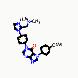 COc1ccc(-n2cnc3ncn(-c4ccc(-n5ccnc5CN(C)C)cc4)c(=O)c32)cc1